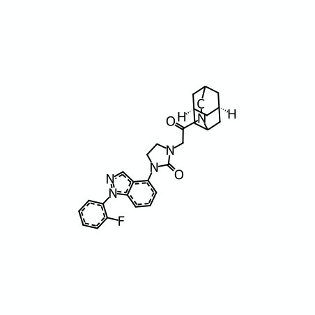 O=C1N(CC(=O)N2CC3C[C@@H]4CC2C[C@H](C3)C4)CCN1c1cccc2c1cnn2-c1ccccc1F